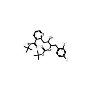 CC(C)(C)NC(=O)c1cccnc1CC(O)C(Cc1ccc(Cl)cc1F)NC(=O)OC(C)(C)C